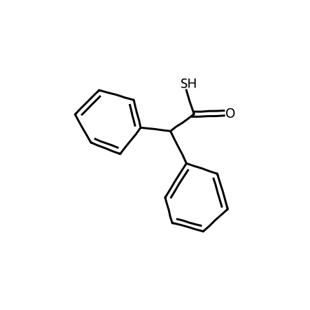 O=C(S)C(c1ccccc1)c1ccccc1